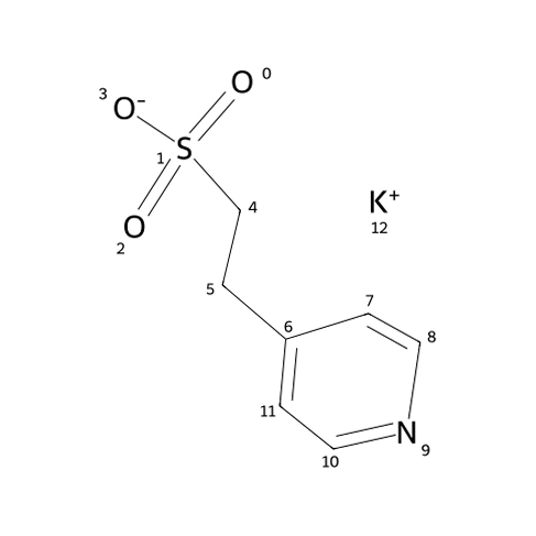 O=S(=O)([O-])CCc1ccncc1.[K+]